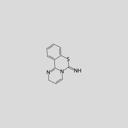 N=C1Sc2ccccc2C2=NCC=CN12